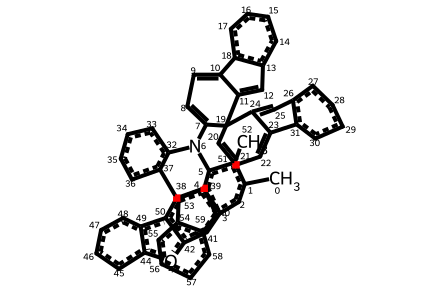 Cc1cc2c(c(N(C3=CC=C4C(=Cc5ccccc54)C34C=CC=C3C4=Cc4ccccc43)c3ccccc3-c3cccc4oc5ccccc5c34)c1C)Cc1ccccc1-2